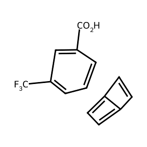 O=C(O)c1cccc(C(F)(F)F)c1.c1cc2ccc1-2